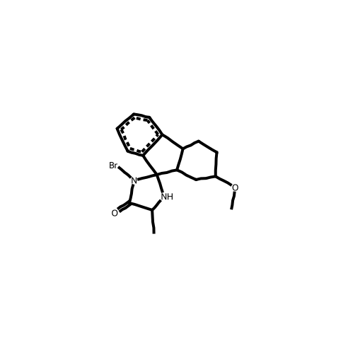 COC1CCC2c3ccccc3C3(NC(C)C(=O)N3Br)C2C1